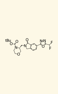 CC(C)(C)OC(=O)N1CCOC[C@@H]1CN1Cc2ccc(-c3nnc(C(F)F)o3)cc2C1=O